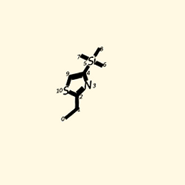 CCc1nc([Si](C)(C)C)cs1